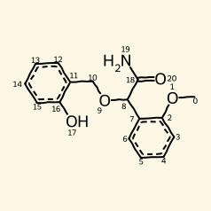 COc1ccccc1C(OCc1ccccc1O)C(N)=O